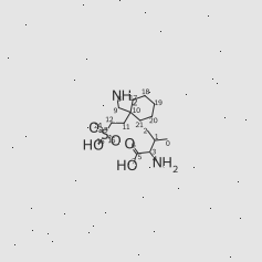 CC(C)C(N)C(=O)O.NCC1(CCS(=O)(=O)O)CCCCC1